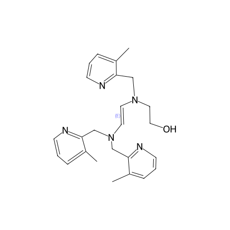 Cc1cccnc1CN(/C=C/N(Cc1ncccc1C)Cc1ncccc1C)CCO